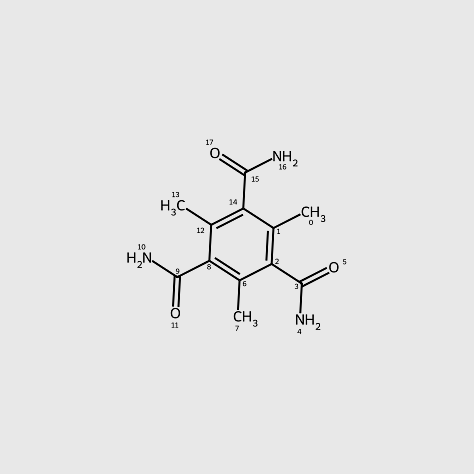 Cc1c(C(N)=O)c(C)c(C(N)=O)c(C)c1C(N)=O